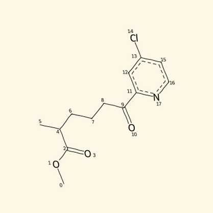 COC(=O)C(C)CCCC(=O)c1cc(Cl)ccn1